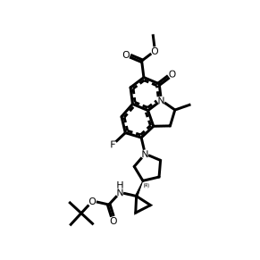 COC(=O)c1cc2cc(F)c(N3CC[C@@H](C4(NC(=O)OC(C)(C)C)CC4)C3)c3c2n(c1=O)C(C)C3